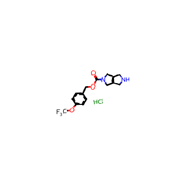 Cl.O=C(OCc1ccc(OC(F)(F)F)cc1)N1CC2=C(CNC2)C1